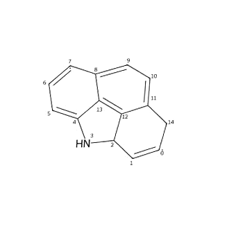 [C]1=CC2Nc3cc[c]c4ccc(c2c34)C1